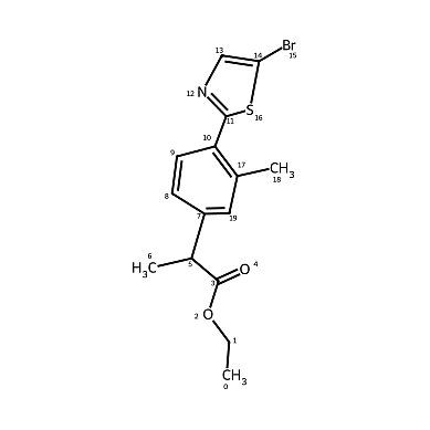 CCOC(=O)C(C)c1ccc(-c2ncc(Br)s2)c(C)c1